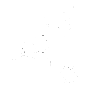 Cc1cccc(C)c1CNc1cc(C(=O)N2CCC2CO)cn2c(C)c(C)nc12